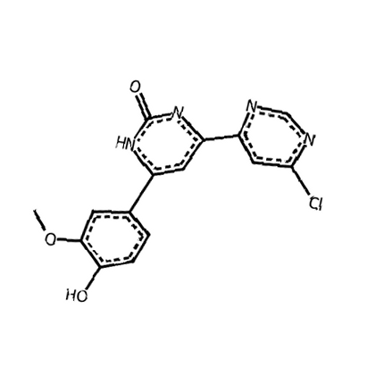 COc1cc(-c2cc(-c3cc(Cl)ncn3)nc(=O)[nH]2)ccc1O